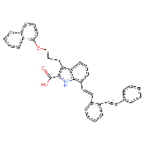 O=C(O)c1[nH]c2c(/C=C/c3ccccc3/C=C/c3ccccc3)cccc2c1CCCOc1cccc2ccccc12